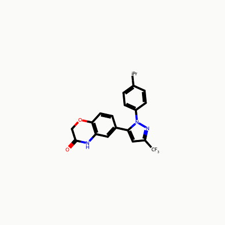 CC(C)c1ccc(-n2nc(C(F)(F)F)cc2-c2ccc3c(c2)NC(=O)CO3)cc1